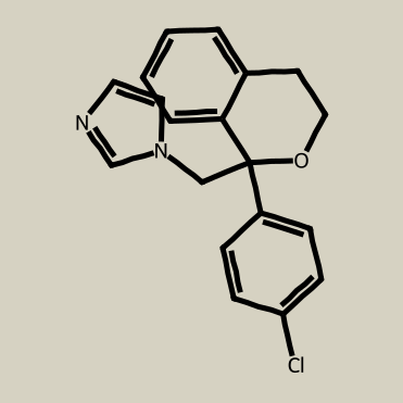 Clc1ccc(C2(Cn3ccnc3)OCCc3ccccc32)cc1